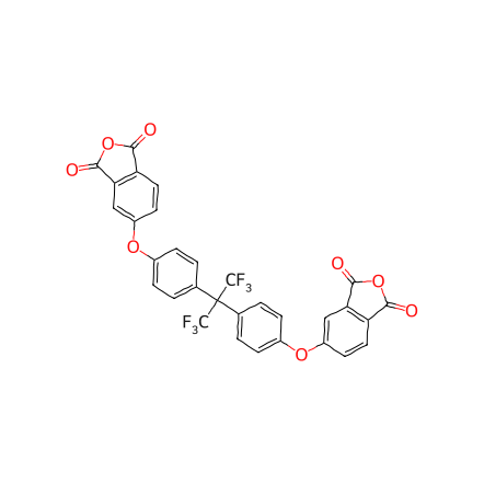 O=C1OC(=O)c2cc(Oc3ccc(C(c4ccc(Oc5ccc6c(c5)C(=O)OC6=O)cc4)(C(F)(F)F)C(F)(F)F)cc3)ccc21